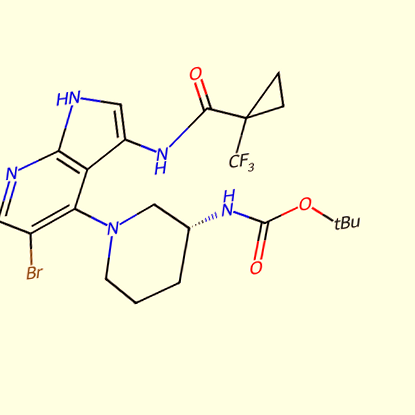 CC(C)(C)OC(=O)N[C@@H]1CCCN(c2c(Br)cnc3[nH]cc(NC(=O)C4(C(F)(F)F)CC4)c23)C1